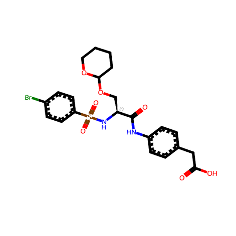 O=C(O)Cc1ccc(NC(=O)[C@H](COC2CCCCO2)NS(=O)(=O)c2ccc(Br)cc2)cc1